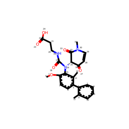 COc1ccc(-c2ccccc2C)c(C)c1N(C(=O)NCCC(=O)O)[C@H]1C(=O)C=CN(C)C1=O